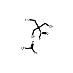 CC(=O)O.O=[N+]([O-])C(CO)(CO)CO